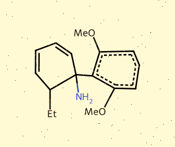 CCC1C=CC=CC1(N)c1c(OC)cccc1OC